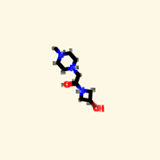 CN1CCN(CC(=O)N2CC(O)C2)CC1